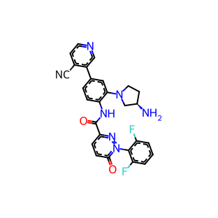 N#Cc1ccncc1-c1ccc(NC(=O)c2ccc(=O)n(-c3c(F)cccc3F)n2)c(N2CC[C@@H](N)C2)c1